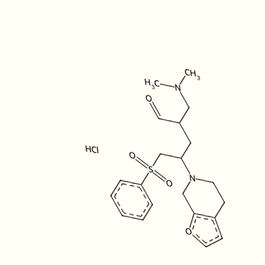 CN(C)CC(C=O)CC(CS(=O)(=O)c1ccccc1)N1CCc2ccoc2C1.Cl